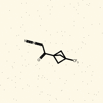 [N-]=[N+]=CC(=O)C12CC(C(F)(F)F)(C1)C2